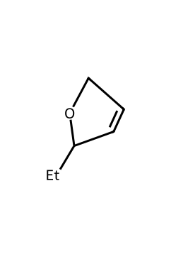 [CH2]CC1C=CCO1